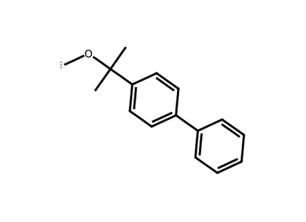 [C]OC(C)(C)c1ccc(-c2ccccc2)cc1